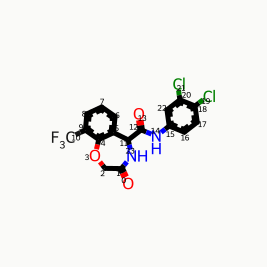 O=C1COc2c(cccc2C(F)(F)F)C(C(=O)Nc2ccc(Cl)c(Cl)c2)N1